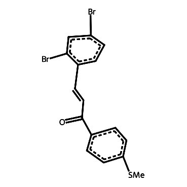 CSc1ccc(C(=O)C=Cc2ccc(Br)cc2Br)cc1